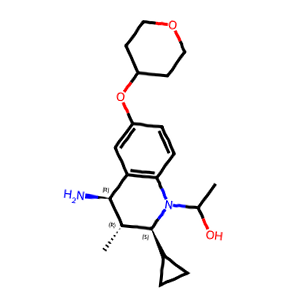 CC(O)N1c2ccc(OC3CCOCC3)cc2[C@H](N)[C@@H](C)[C@@H]1C1CC1